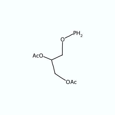 CC(=O)OCC(COP)OC(C)=O